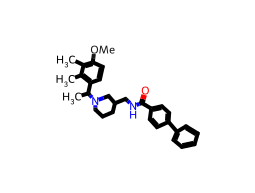 COc1ccc(C(C)N2CCCC(CNC(=O)c3ccc(-c4ccccc4)cc3)C2)c(C)c1C